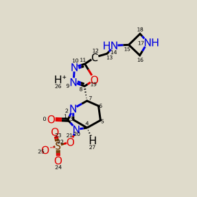 O=C1N2C[C@@H](CC[C@H]2c2nnc(CCNC3CNC3)o2)N1OS(=O)(=O)[O-].[H+]